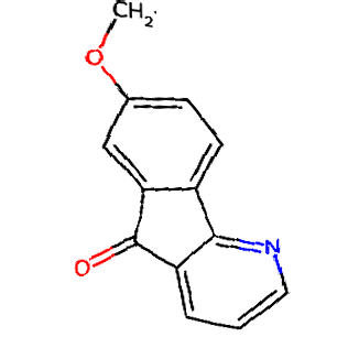 [CH2]Oc1ccc2c(c1)C(=O)c1cccnc1-2